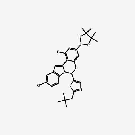 CC(C)(C)Cc1ncc(C2Oc3cc(B4OC(C)(C)C(C)(C)O4)cc(F)c3-c3cc4cc(Cl)ccc4n32)s1